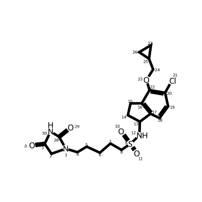 O=C1CN(CCCCCS(=O)(=O)NC2CCc3c2ccc(Cl)c3OCC2CC2)C(=O)N1